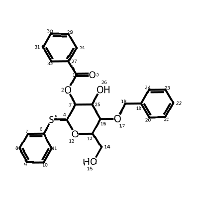 O=C(OC1C(Sc2ccccc2)OC(CO)C(OCc2ccccc2)C1O)c1ccccc1